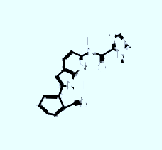 Cn1ncnc1C(=O)Nc1ccc2cc(-c3ccccc3C#N)[nH]c2n1